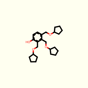 Oc1ccc(COC2CCCC2)c(COC2CCCC2)c1COC1CCCC1